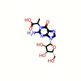 CC(C(=O)O)n1c(N)nc2c(ncn2[C@@H]2O[C@H](CO)[C@@H](O)[C@H]2O)c1=O